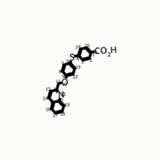 O=C(O)c1ccc(Sc2ccc(OCc3ccc4ccccc4n3)cc2)cc1